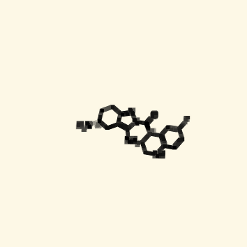 Nc1c2c(nn1C(=O)[C@@H]1CCNc3ccc(F)cc31)CC[C@@H](N)C2